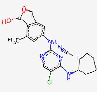 Cc1cc(Nc2ncc(Cl)c(N[C@@H]3CCCC[C@H]3C#N)n2)cc2c1B(O)OC2